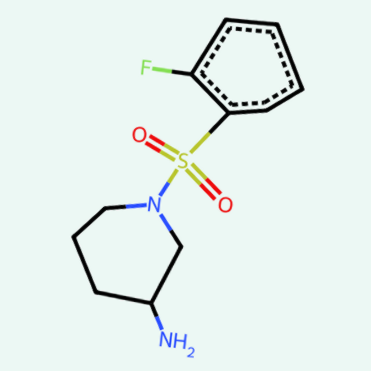 NC1CCCN(S(=O)(=O)c2ccccc2F)C1